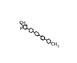 CCc1ccc(C2CCC(C3CC=C(c4ccc(C5CCC(C)CC5)cc4)CC3)CC2)cc1F